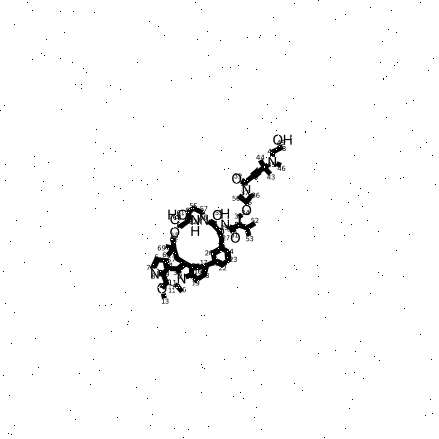 CCn1c(-c2cccnc2[C@H](C)OC)c2c3cc(ccc31)-c1cccc(c1)C[C@H](NC(=O)[C@@H](COC1CN(C(=O)C#CC(C)(C)N(C)CCO)C1)C(C)C)C(=O)N1CCC[C@@](O)(N1)C(=O)OCC(C)(C)C2